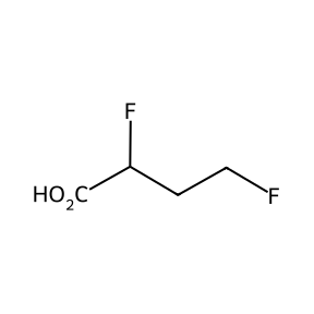 O=C(O)C(F)CCF